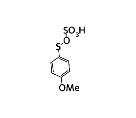 COc1ccc(SOS(=O)(=O)O)cc1